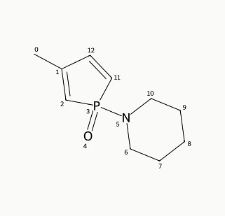 CC1=CP(=O)(N2CCCCC2)C=C1